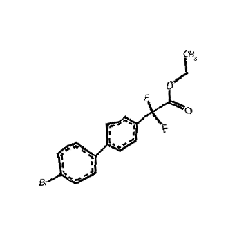 CCOC(=O)C(F)(F)c1ccc(-c2ccc(Br)cc2)cc1